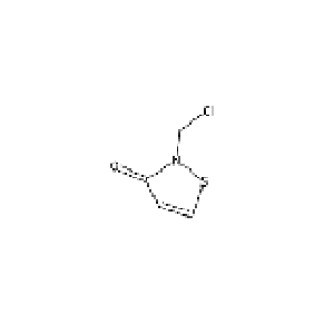 O=c1ccsn1CCl